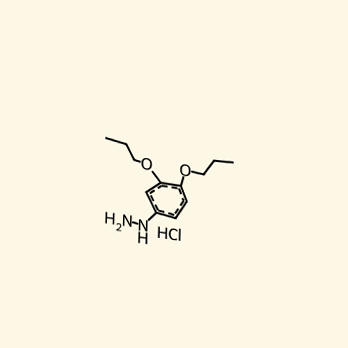 CCCOc1ccc(NN)cc1OCCC.Cl